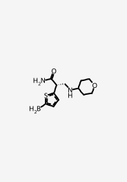 Bc1ccc([C@@H](CNC2CCOCC2)C(N)=O)s1